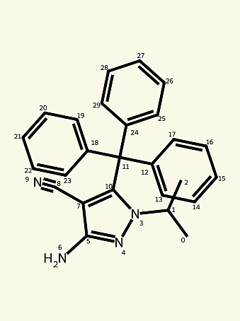 CC(C)n1nc(N)c(C#N)c1C(c1ccccc1)(c1ccccc1)c1ccccc1